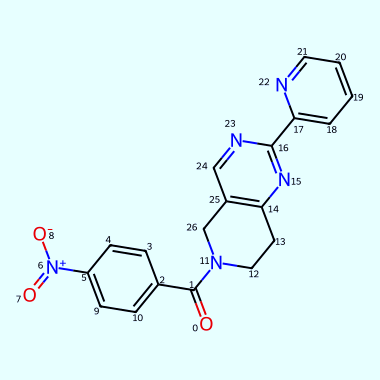 O=C(c1ccc([N+](=O)[O-])cc1)N1CCc2nc(-c3ccccn3)ncc2C1